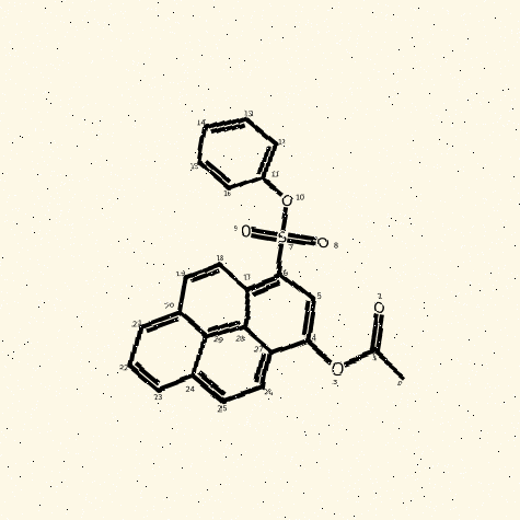 CC(=O)Oc1cc(S(=O)(=O)Oc2ccccc2)c2ccc3cccc4ccc1c2c43